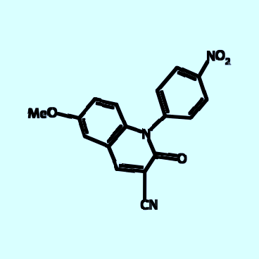 COc1ccc2c(c1)cc(C#N)c(=O)n2-c1ccc([N+](=O)[O-])cc1